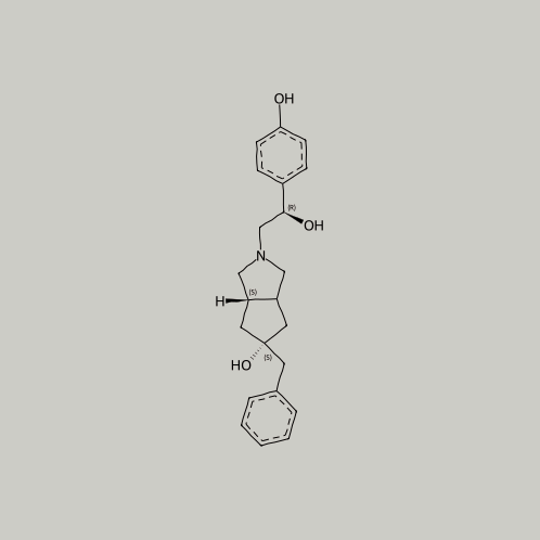 Oc1ccc([C@@H](O)CN2CC3C[C@@](O)(Cc4ccccc4)C[C@@H]3C2)cc1